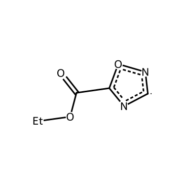 CCOC(=O)c1n[c]no1